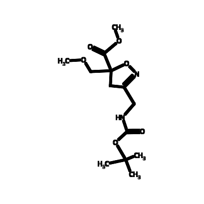 COCC1(C(=O)OC)CC(CNC(=O)OC(C)(C)C)=NO1